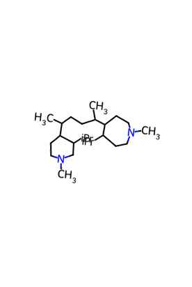 CC(C)C1CCN(C)CCC1C(C)CCC(C)C1CCN(C)CC1C(C)C